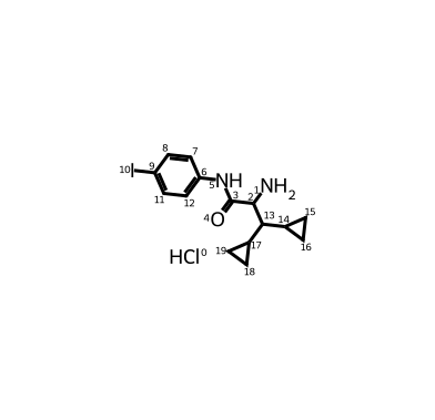 Cl.NC(C(=O)Nc1ccc(I)cc1)C(C1CC1)C1CC1